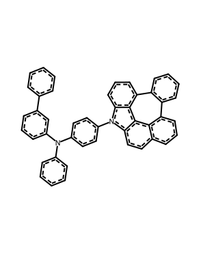 c1ccc(-c2cccc(N(c3ccccc3)c3ccc(-n4c5cccc6c5c5c7c(cccc7ccc54)-c4ccccc4-6)cc3)c2)cc1